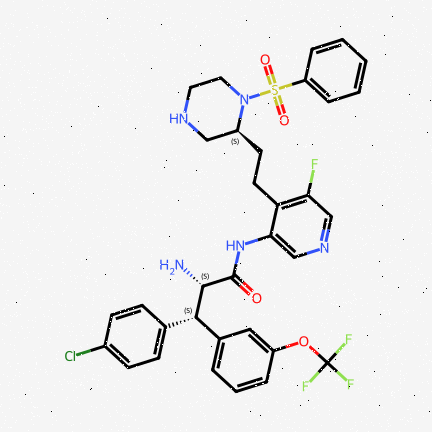 N[C@H](C(=O)Nc1cncc(F)c1CC[C@H]1CNCCN1S(=O)(=O)c1ccccc1)[C@@H](c1ccc(Cl)cc1)c1cccc(OC(F)(F)F)c1